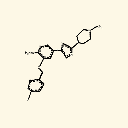 CN1CCC(c2ncc(-c3cnc(N)c(OCc4ccc(F)cc4)c3)s2)CC1